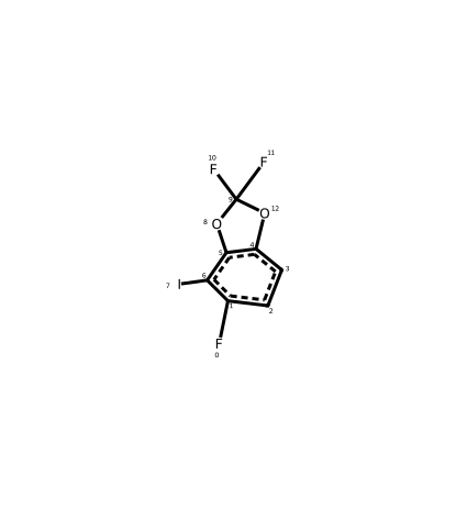 Fc1ccc2c(c1I)OC(F)(F)O2